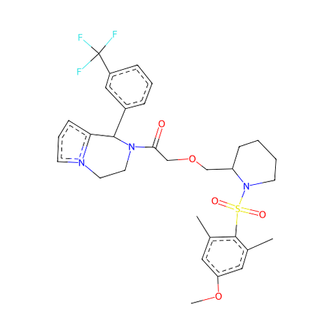 COc1cc(C)c(S(=O)(=O)N2CCCCC2COCC(=O)N2CCn3cccc3C2c2cccc(C(F)(F)F)c2)c(C)c1